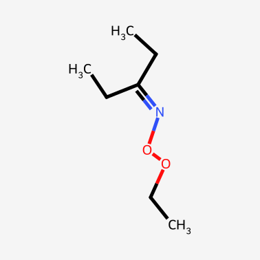 CCOON=C(CC)CC